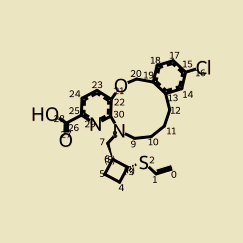 C=CS[C@@H]1CC[C@H]1CN1CCCCc2cc(Cl)ccc2COc2ccc(C(=O)O)nc21